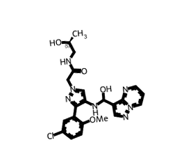 COc1ccc(Cl)cc1-c1nn(CC(=O)NC[C@H](C)O)cc1NC(O)c1cnn2cccnc12